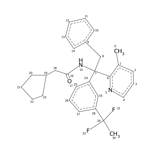 Cc1cccnc1C(Cc1ccccc1)(NC(=O)CC1CCCC1)c1cccc(C(C)(F)F)c1